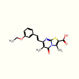 CCOc1cccc(/C=C/c2nc3sc(C(=O)O)c(C)n3c(=O)c2C)c1